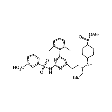 COC(=O)C1CCC(N[C@@H](CCc2cc(-c3c(C)cccc3C)nc(NS(=O)(=O)c3cccc(C(=O)O)c3)n2)CC(C)(C)C)CC1